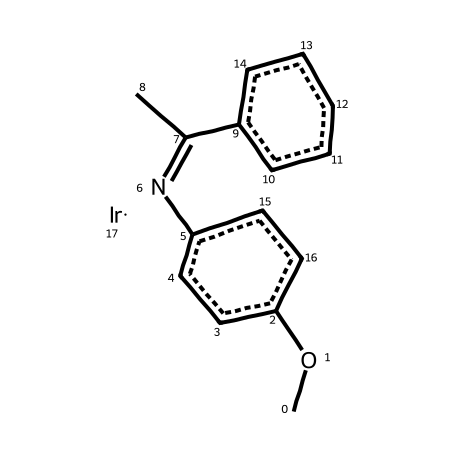 COc1ccc(N=C(C)c2ccccc2)cc1.[Ir]